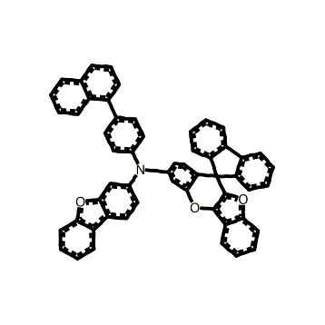 c1ccc2c(c1)-c1ccccc1C21c2ccc(N(c3ccc(-c4cccc5ccccc45)cc3)c3ccc4c(c3)oc3ccccc34)cc2Oc2c1oc1ccccc21